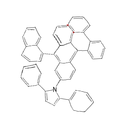 C1=CCCC(c2ccc(-c3ccccc3)n2-c2ccc3c(-c4ccccc4-c4ccccc4)c4ccccc4c(-c4cccc5ccccc45)c3c2)=C1